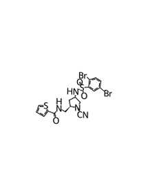 N#CN1C[C@H](NS(=O)(=O)c2cc(Br)ccc2Br)C[C@@H]1CNC(=O)c1cccs1